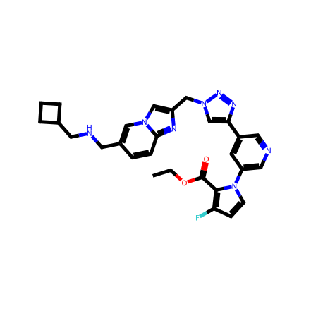 CCOC(=O)c1c(F)ccn1-c1cncc(-c2cn(Cc3cn4cc(CNCC5CCC5)ccc4n3)nn2)c1